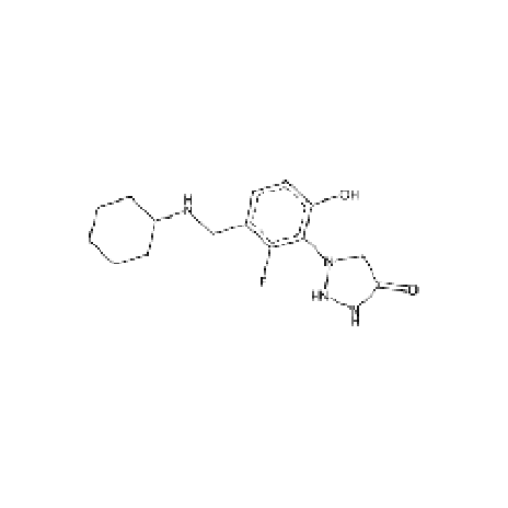 O=C1CN(c2c(O)ccc(CNC3CCCCC3)c2F)NN1